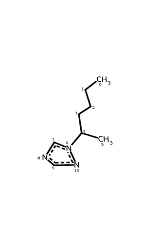 CCCCC(C)n1cncn1